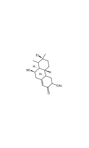 CC[C@@]1(C)CC[C@H]2[C@H](C1C)[C@H](C#N)CC1=CC(=O)C(OC(C)=O)C[C@@H]12